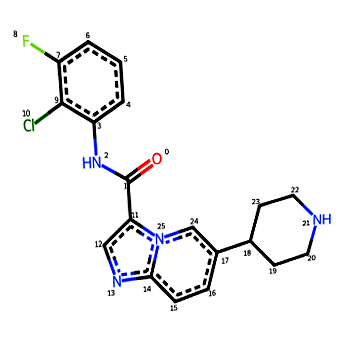 O=C(Nc1cccc(F)c1Cl)c1cnc2ccc(C3CCNCC3)cn12